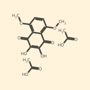 CC(=O)O.CC(=O)O.COc1ccc(OC)c2c1C(=O)C(O)=C(O)C2=O